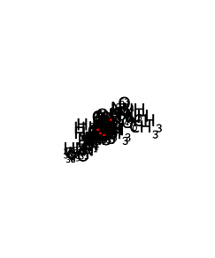 CC(C)C(=O)Nc1nc2c(ncn2[C@@H]2S[C@@H]3COP(=S)(S)O[C@H]4[C@H](F)[C@H](n5cnc6c(NC(=O)c7ccccc7)ncnc65)O[C@@H]4COP(=O)(O)O[C@@H]2[C@@H]3O[Si](C)(C)C(C)(C)C)c(=O)[nH]1